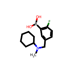 CN(Cc1ccc(F)c(B(O)O)c1)C1CCCCC1